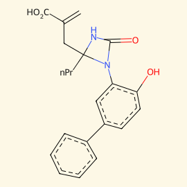 C=C(CC1(CCC)NC(=O)N1c1cc(-c2ccccc2)ccc1O)C(=O)O